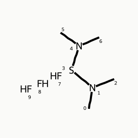 CN(C)SN(C)C.F.F.F